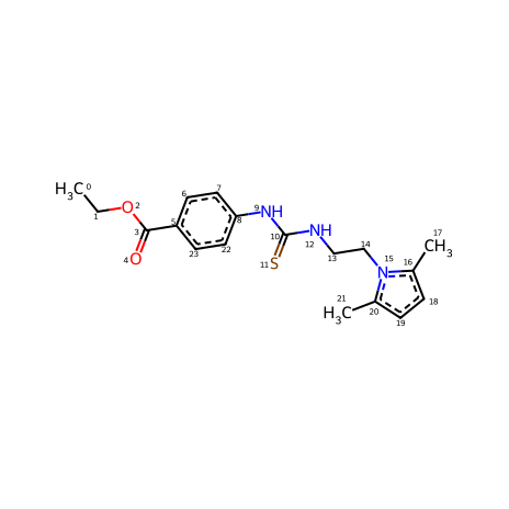 CCOC(=O)c1ccc(NC(=S)NCCn2c(C)ccc2C)cc1